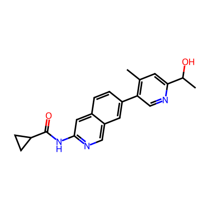 Cc1cc(C(C)O)ncc1-c1ccc2cc(NC(=O)C3CC3)ncc2c1